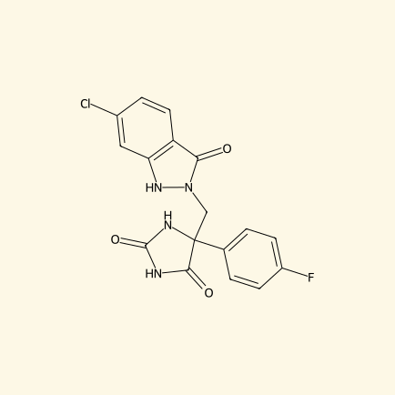 O=C1NC(=O)C(Cn2[nH]c3cc(Cl)ccc3c2=O)(c2ccc(F)cc2)N1